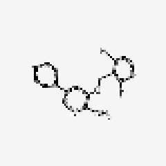 Nc1ncc(-c2cc[c]cc2)cc1OCc1c(F)cccc1F